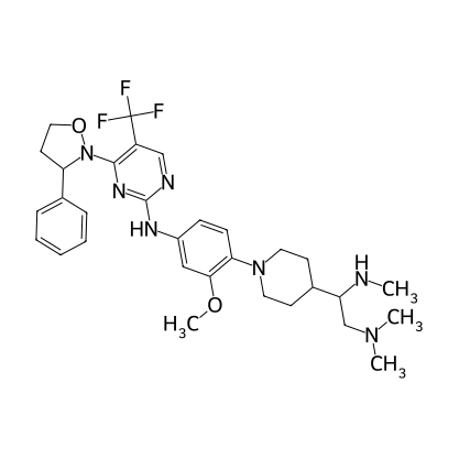 CNC(CN(C)C)C1CCN(c2ccc(Nc3ncc(C(F)(F)F)c(N4OCCC4c4ccccc4)n3)cc2OC)CC1